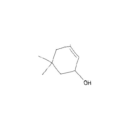 CC1(C)C[C]=CC(O)C1